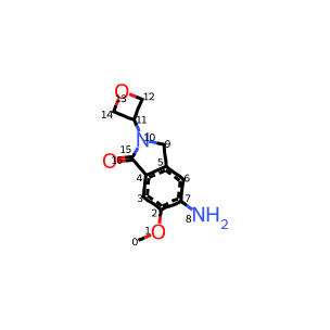 COc1cc2c(cc1N)CN(C1COC1)C2=O